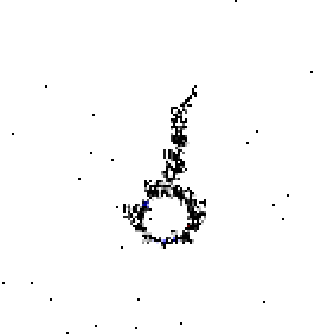 CCCOCCC(=O)N1CCN(c2ncc(CNC(=O)O[C@@H]3CC[C@@H](C[C@@H](N)[C@@H]4C[C@@H](OC)[C@H](C)/C=C(\C)[C@@H](O)[C@@H](O)C(=O)[C@H](C)C[C@H](C)/C=C/C=C/C=C(\C)[C@@H](OC)C[C@@H]5CC[C@@H](C)[C@@](O)(O5)C(=O)C(O)N5CCCC[C@H]5C(=O)O4)C[C@H]3OC)cn2)CC1